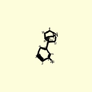 Fc1cccc(C2CN3CCC2CC3)c1